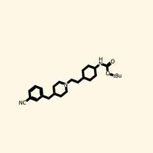 CC(C)(C)OC(=O)NC1CCC(CCN2CCC(Cc3cccc(C#N)c3)CC2)CC1